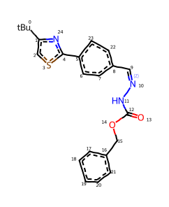 CC(C)(C)c1csc(-c2ccc(/C=N\NC(=O)OCc3ccccc3)cc2)n1